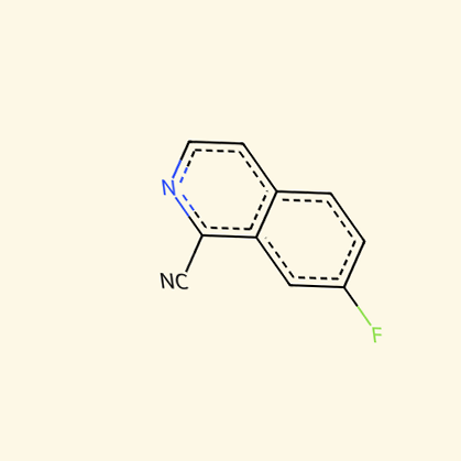 N#Cc1nccc2ccc(F)cc12